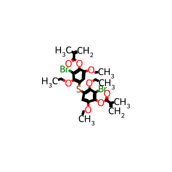 C=C(C)C(=O)Oc1c(OCC)cc(Sc2cc(OCC)c(OC(=O)C(=C)C)c(Br)c2OCC)c(OCC)c1Br